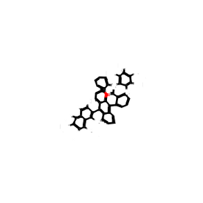 Bc1c(B)c(B)c(-n2c(-c3ccccc3-c3c4ccccc4c(-c4c(B)c(B)c5c(B)c(B)c(B)c(B)c5c4B)c4ccccc34)nc3ccccc32)c(B)c1B